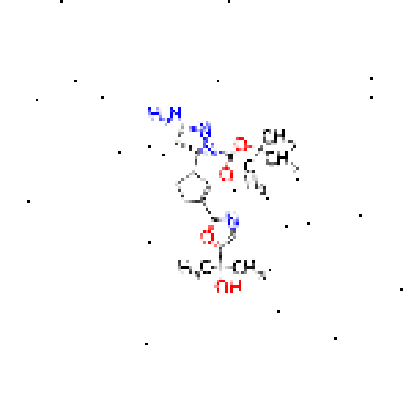 CC(C)(C)OC(=O)n1nc(N)cc1C1C=C(c2ncc(C(C)(C)O)o2)CC1